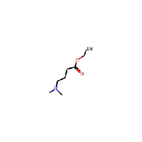 CCC(C)COC(=O)CCCN(C)C